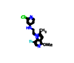 COc1ncc(F)c2c1cc(C)n2CCNc1ccnc(Cl)c1